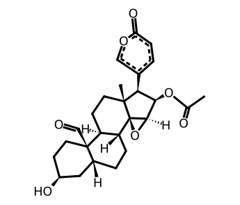 CC(=O)O[C@H]1[C@H]2O[C@]23[C@@H]2CC[C@@H]4C[C@@H](O)CC[C@]4(C=O)[C@H]2CC[C@]3(C)[C@H]1c1ccc(=O)oc1